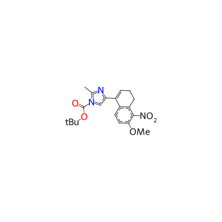 COc1ccc2c(c1[N+](=O)[O-])CCC=C2c1cn(C(=O)OC(C)(C)C)c(C)n1